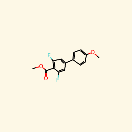 COC(=O)c1c(F)cc(-c2ccc(OC)cc2)cc1F